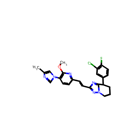 COc1nc(C=Cc2nc3n(n2)CCCC3c2ccc(F)c(Cl)c2)ccc1-n1cnc(C)c1